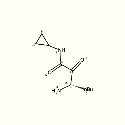 CCCC[C@H](N)C(=O)C(=O)NC1CC1